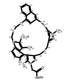 CNC(=O)Cn1nc2c(c1C)-c1c(Cl)ccc3c1c(C)c(C(=O)O)n3CCCOc1cc(cc3ccccc13)SCc1cc(nn1C)CSC2